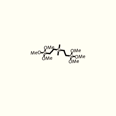 CO[Si](CC[Si](C)(C)CC[Si](OC)(OC)OC)(OC)OC